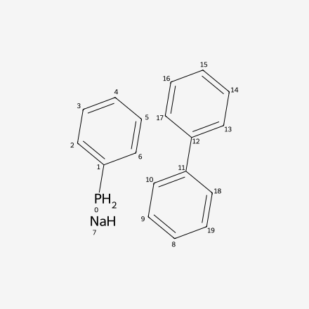 Pc1ccccc1.[NaH].c1ccc(-c2ccccc2)cc1